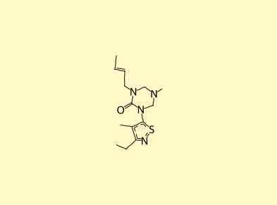 CC=CCN1CN(C)CN(c2snc(CC)c2C)C1=O